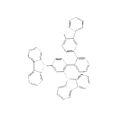 c1ccc(-c2ccc(-n3c4ccccc4c4ccccc43)cc2-n2c3ccccc3c3ccccc32)c(-c2ccc3oc4ccccc4c3c2)c1